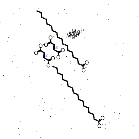 CCCCCCCCCCCCCCCCCC(=O)[O-].CCCCCCCCCCCCCCCCCC(=O)[O-].O=C([O-])/C=C/C(=O)[O-].O=C([O-])/C=C/C(=O)[O-].[Mg+2].[Mg+2].[Mg+2]